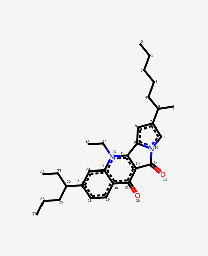 CCCCCC(C)c1cc2n(c1)C(=O)c1c-2n(CC)c2cc(C(CC)CCC)ccc2c1=O